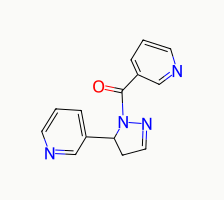 O=C(c1cccnc1)N1N=CCC1c1cccnc1